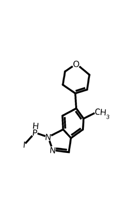 Cc1cc2cnn(PI)c2cc1C1=CCOCC1